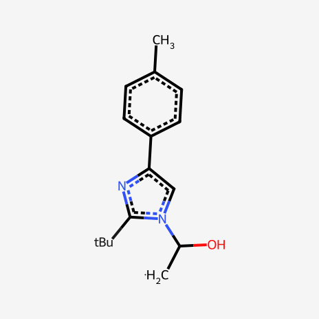 [CH2]C(O)n1cc(-c2ccc(C)cc2)nc1C(C)(C)C